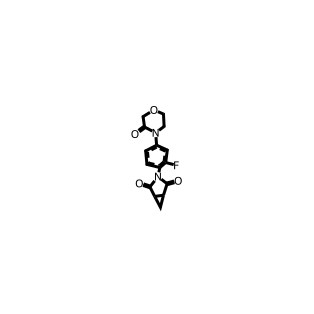 O=C1COCCN1c1ccc(N2C(=O)C3CC3C2=O)c(F)c1